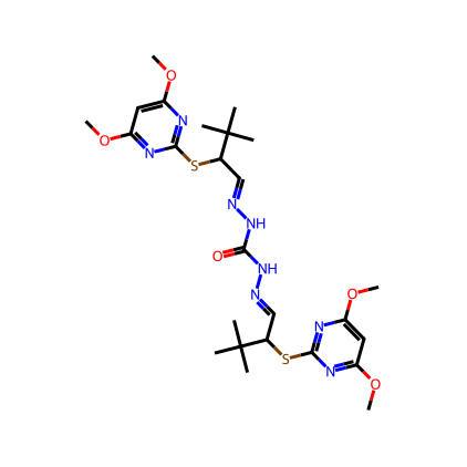 COc1cc(OC)nc(SC(C=NNC(=O)NN=CC(Sc2nc(OC)cc(OC)n2)C(C)(C)C)C(C)(C)C)n1